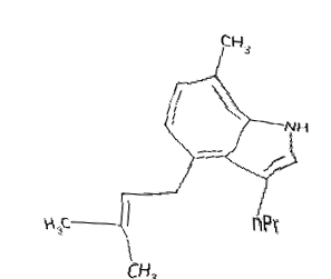 CCCc1c[nH]c2c(C)ccc(CC=C(C)C)c12